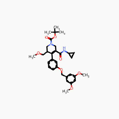 COCC1CN(C(=O)OC(C)(C)C)CC(C(=O)NC2CC2)=C1c1cccc(OCc2cc(OC)cc(OC)c2)c1